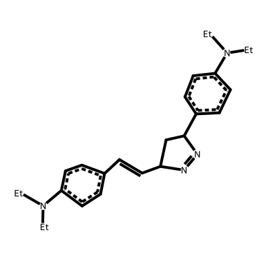 CCN(CC)c1ccc(C=CC2CC(c3ccc(N(CC)CC)cc3)N=N2)cc1